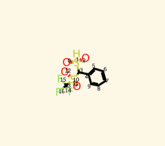 O=[SH](=O)C(c1ccccc1)S(=O)(=O)C(F)(F)F